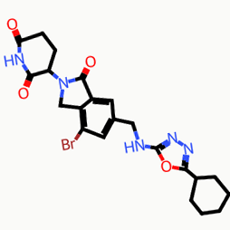 O=C1CCC(N2Cc3c(Br)cc(CNc4nnc(C5CCCCC5)o4)cc3C2=O)C(=O)N1